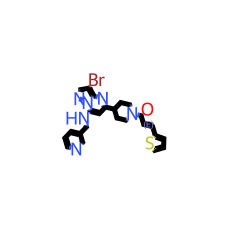 O=C(/C=C/c1cccs1)N1CCC(c2cc(NCc3cccnc3)n3ncc(Br)c3n2)CC1